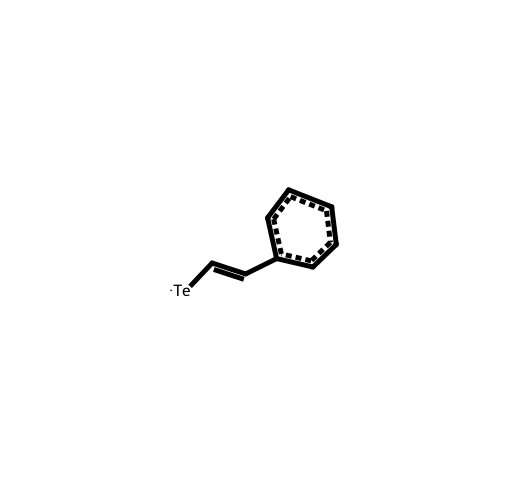 [Te]C=Cc1ccccc1